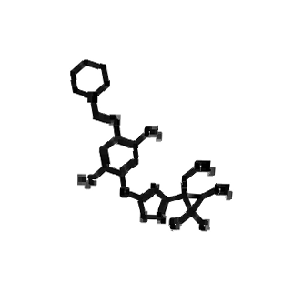 CCC1(c2nsc(Oc3cc(C)c(/N=C/N4CCCCC4)cc3C)n2)C(C)C1(Cl)Cl